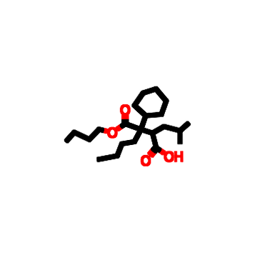 CCCCOC(=O)C(CCCC)(C1CCCCC1)C(CC(C)C)C(=O)O